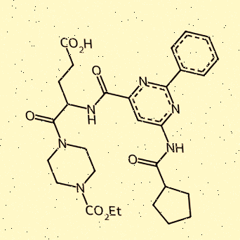 CCOC(=O)N1CCN(C(=O)C(CCC(=O)O)NC(=O)c2cc(NC(=O)C3CCCC3)nc(-c3ccccc3)n2)CC1